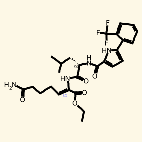 CCOC(=O)/C(=C/CCCC(N)=O)NC(=O)[C@H](CC(C)C)NC(=O)c1ccc(-c2ccccc2C(F)(F)F)[nH]1